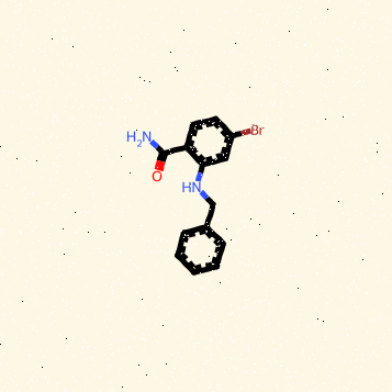 NC(=O)c1ccc(Br)cc1NCc1ccccc1